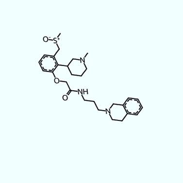 CN1CCCC(c2c(C[S+](C)[O-])cccc2OCC(=O)NCCCN2CCc3ccccc3C2)C1